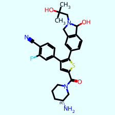 CC(C)(O)CN1Cc2cc(-c3sc(C(=O)N4CCC[C@@H](N)C4)cc3-c3ccc(C#N)c(F)c3)ccc2C1O